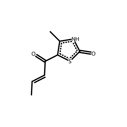 C/C=C/C(=O)c1sc(=O)[nH]c1C